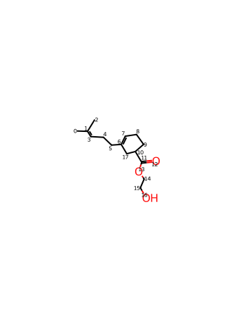 CC(C)=CCCC1=CCCC(C(=O)OCCO)C1